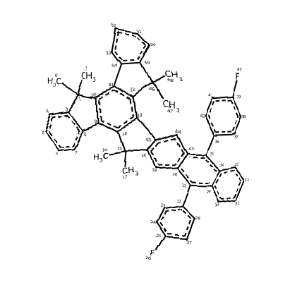 CC1(C)c2ccccc2-c2c1c1c(c3c2C(C)(C)c2cc4c(-c5ccc(F)cc5)c5ccccc5c(-c5ccc(F)cc5)c4cc2-3)C(C)(C)c2ccccc2-1